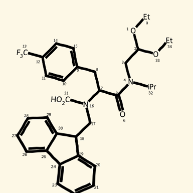 CCOC(CN(C(=O)C(Cc1ccc(C(F)(F)F)cc1)N(CC1c2ccccc2-c2ccccc21)C(=O)O)C(C)C)OCC